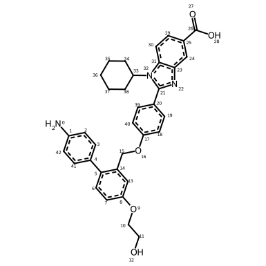 Nc1ccc(-c2ccc(OCCO)cc2COc2ccc(-c3nc4cc(C(=O)O)ccc4n3C3CCCCC3)cc2)cc1